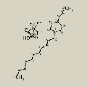 CCCCCCCCCCCN1CCC(CCC)CC1.O=S(=O)(O)C(F)(F)F